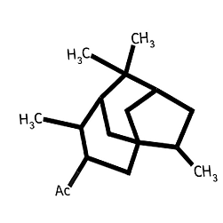 CC(=O)C1CC23CC(CC2C)C(C)(C)C(C3)C1C